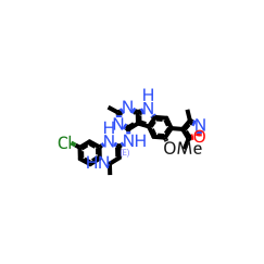 COc1cc2c(cc1-c1c(C)noc1C)[nH]c1nc(C)nc(N/C(=C/C(C)=N)Nc3cccc(Cl)c3)c12